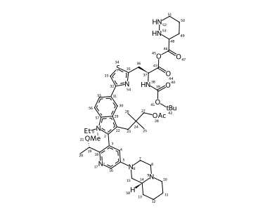 CCn1c(-c2cc(N3CCN4CCCC[C@@H]4C3)cnc2[C@H](C)OC)c(CC(C)(C)COC(C)=O)c2cc(-c3csc(C[C@H](NC(=O)OC(C)(C)C)C(=O)OC(=O)C4CCCNN4)n3)ccc21